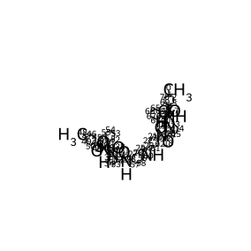 Cc1ccc(S(=O)(=O)N[C@@H](C(=O)N2CCC[C@H]2C(=O)Nc2ccc(-c3cc4cc(NC(=O)[C@@H]5CCCN5C(=O)[C@H](NS(=O)(=O)c5ccc(C)cc5)c5ccccc5)ccc4[nH]3)cc2)c2ccccc2)cc1